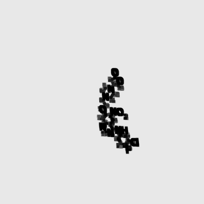 O=C1CC(N2CCN(CCOc3cc4ncnc(Nc5ccc(F)c(Cl)c5)c4cc3[N+](=O)[O-])CC2)CO1